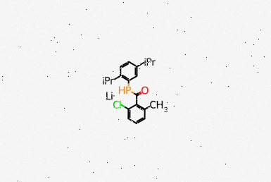 Cc1cccc(Cl)c1C(=O)Pc1cc(C(C)C)ccc1C(C)C.[Li]